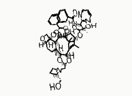 CC(=O)O[C@@]12CO[C@@H]1CC[C@@]1(C)[C@@H]3O[C@H](CN4CC[C@H]4CO)O[C@@H]3C3=C(C)[C@@H](OC(=O)[C@](C)(O)[C@@H](NC(=O)c4ccccc4)c4ncccn4)C[C@@](O)([C@@H](OC(=O)c4ccccc4)[C@@H]12)C3(C)C